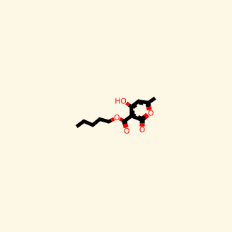 CCCCCOC(=O)c1c(O)cc(C)oc1=O